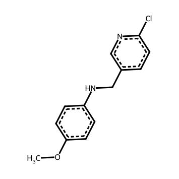 COc1ccc(NCc2ccc(Cl)nc2)cc1